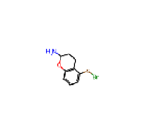 NC1CCc2c(cccc2SBr)O1